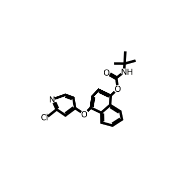 CC(C)(C)NC(=O)Oc1ccc(Oc2ccnc(Cl)c2)c2ccccc12